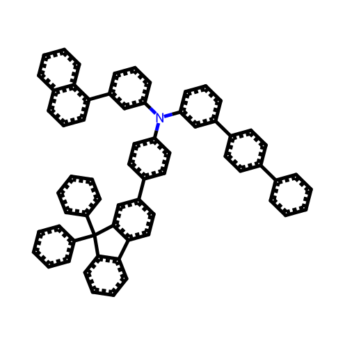 c1ccc(-c2ccc(-c3cccc(N(c4ccc(-c5ccc6c(c5)C(c5ccccc5)(c5ccccc5)c5ccccc5-6)cc4)c4cccc(-c5cccc6ccccc56)c4)c3)cc2)cc1